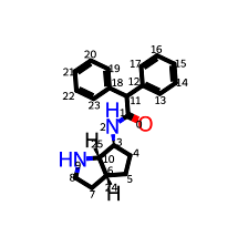 O=C(N[C@H]1CC[C@@H]2CCN[C@@H]21)C(c1ccccc1)c1ccccc1